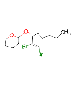 CCCCCC(OC1CCCCO1)C(Br)=CBr